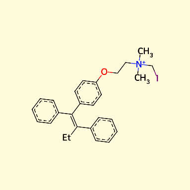 CC/C(=C(\c1ccccc1)c1ccc(OCC[N+](C)(C)CI)cc1)c1ccccc1